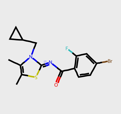 Cc1s/c(=N\C(=O)c2ccc(Br)cc2F)n(CC2CC2)c1C